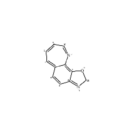 C1=CC=c2ccc3c(c2N=C1)OCN=3